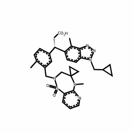 Cc1ccc([C@H](CC(=O)O)c2ccc3c(nnn3CC3CC3)c2C)cc1CN1CC2(CC2)N(C)c2ncccc2S1(=O)=O